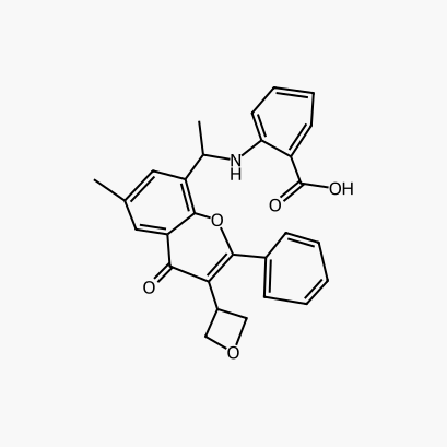 Cc1cc(C(C)Nc2ccccc2C(=O)O)c2oc(-c3ccccc3)c(C3COC3)c(=O)c2c1